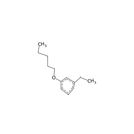 C[CH]c1cccc(OCCCCC)c1